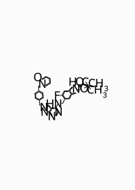 CC(C)(C)OC(=O)n1cc2cc(F)c(CNc3ncnc4nn(Cc5ccc(Cn6ccccc6=O)cc5)cc34)cc2c1